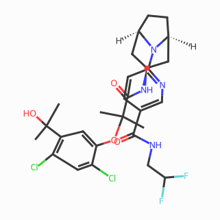 CC(C)(Oc1cc(C(C)(C)O)c(Cl)cc1Cl)C(=O)N[C@H]1C[C@H]2CC[C@@H](C1)N2c1ccc(C(=O)NCC(F)F)cn1